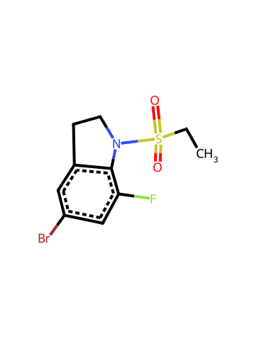 CCS(=O)(=O)N1CCc2cc(Br)cc(F)c21